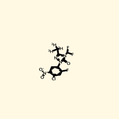 [2H]C([2H])([2H])c1nn(-c2cc([N+](=O)[O-])c(Cl)cc2F)c(=O)n1C(F)F